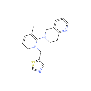 CC1=C(N2CCc3ncccc3C2)N(Cc2cncs2)CC=C1